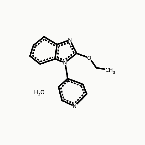 CCOc1nc2ccccc2n1-c1ccncc1.O